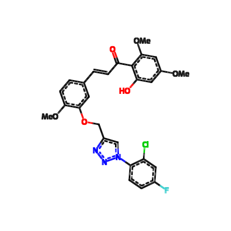 COc1cc(O)c(C(=O)/C=C/c2ccc(OC)c(OCc3cn(-c4ccc(F)cc4Cl)nn3)c2)c(OC)c1